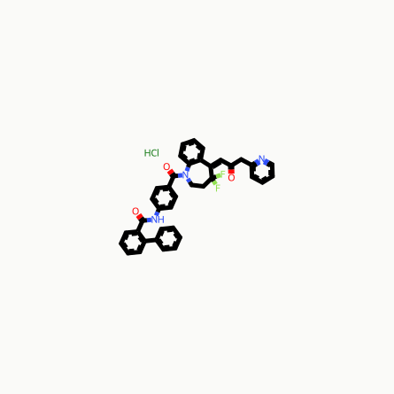 Cl.O=C(C=C1c2ccccc2N(C(=O)c2ccc(NC(=O)c3ccccc3-c3ccccc3)cc2)CCC1(F)F)Cc1ccccn1